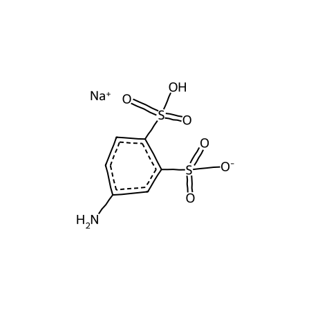 Nc1ccc(S(=O)(=O)O)c(S(=O)(=O)[O-])c1.[Na+]